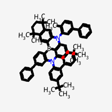 Cc1ccc(-c2ccccc2)cc1N1c2cc3c(cc2B2c4ccc(-c5ccccc5)cc4N(c4ccc(C(C)(C)C)cc4-c4ccccc4)c4cc(C(C)(C)C)cc1c42)C(C)(C)CCC3(C)C